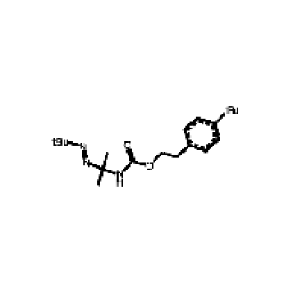 CC(C)(C)N=NC(C)(C)NC(=O)OCCc1ccc(C(C)(C)C)cc1